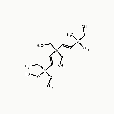 CC[Si](C=C[Si](C)(C)CO)(C=C[Si](OC)(OC)OC)CC